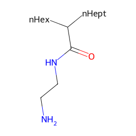 CCCCCCCC(CCCCCC)C(=O)NCCN